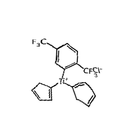 FC(F)(F)c1ccc(C(F)(F)F)[c]([Ti+]([C]2=CC=CC2)[C]2=CC=CC2)c1.[Cl-]